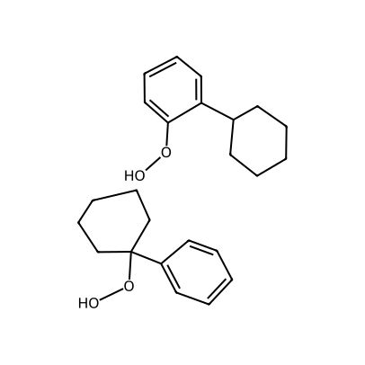 OOC1(c2ccccc2)CCCCC1.OOc1ccccc1C1CCCCC1